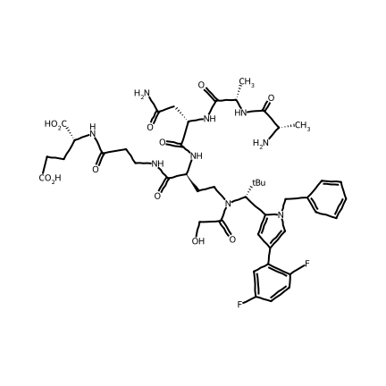 C[C@H](N)C(=O)N[C@@H](C)C(=O)N[C@@H](CC(N)=O)C(=O)N[C@@H](CCN(C(=O)CO)[C@@H](c1cc(-c2cc(F)ccc2F)cn1Cc1ccccc1)C(C)(C)C)C(=O)NCCC(=O)N[C@H](CCC(=O)O)C(=O)O